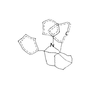 c1ccc(N2C3(c4ccccc4)CC4CC(C3)CC2(c2ccccc2)C4)cc1